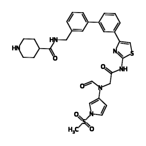 CS(=O)(=O)n1ccc(N(C=O)CC(=O)Nc2nc(-c3cccc(-c4cccc(CNC(=O)C5CCNCC5)c4)c3)cs2)c1